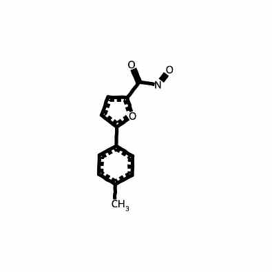 Cc1ccc(-c2ccc(C(=O)N=O)o2)cc1